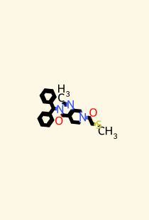 CSCC(=O)N1CCc2c(nc(C)n(C(c3ccccc3)c3ccccc3)c2=O)C1